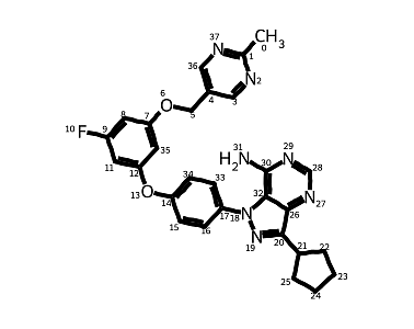 Cc1ncc(COc2cc(F)cc(Oc3ccc(-n4nc(C5CCCC5)c5ncnc(N)c54)cc3)c2)cn1